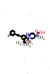 CN(C(=O)O)C1CCc2nc3cc(C#Cc4cccc(F)c4)cc(C(C)(C)C)c3c(=O)n2CC1